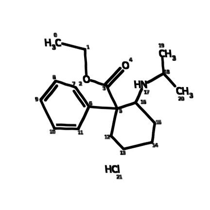 CCOC(=O)C1(c2ccccc2)CCCCC1NC(C)C.Cl